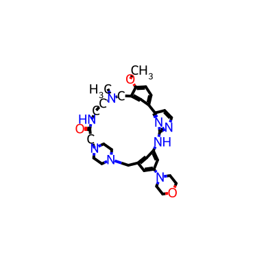 COc1ccc2cc1CN(C)CCNC(=O)CN1CCN(CC1)Cc1cc(cc(N3CCOCC3)c1)Nc1nccc-2n1